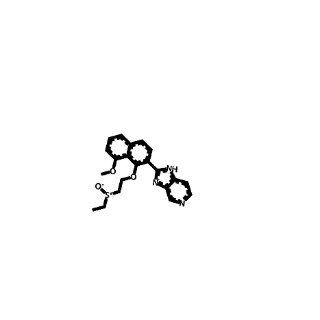 CC[S+]([O-])CCOc1c(-c2nc3cnccc3[nH]2)ccc2cccc(OC)c12